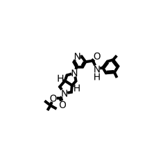 Cc1cc(C)cc(NC(=O)c2cncc(N3C[C@H]4CN(C(=O)OC(C)(C)C)C[C@H]4C3)c2)c1